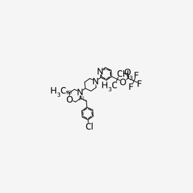 C[C@H]1CN(C2CCN(c3cc(C(C)(C)OC(=O)C(F)(F)F)ccn3)CC2)[C@@H](Cc2ccc(Cl)cc2)CO1